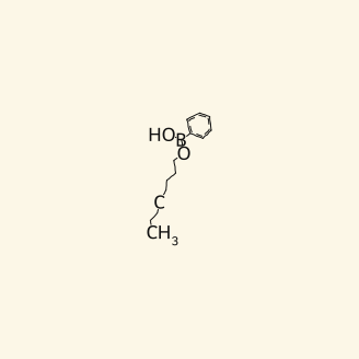 CCCCCCCCOB(O)c1ccccc1